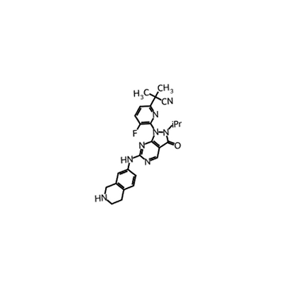 CC(C)n1c(=O)c2cnc(Nc3ccc4c(c3)CNCC4)nc2n1-c1nc(C(C)(C)C#N)ccc1F